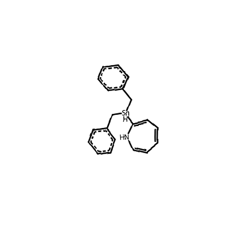 C1=CC=[C]([SnH]([CH2]c2ccccc2)[CH2]c2ccccc2)NC=C1